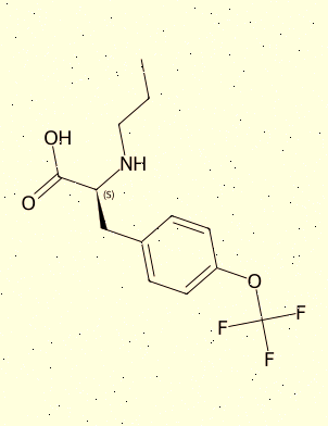 CCCN[C@@H](Cc1ccc(OC(F)(F)F)cc1)C(=O)O